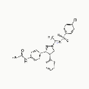 CCCC(=O)Nc1ccc(C2=NN(/C(C)=N/S(=O)(=O)c3ccc(Cl)cc3)CC2c2ccccc2)cc1